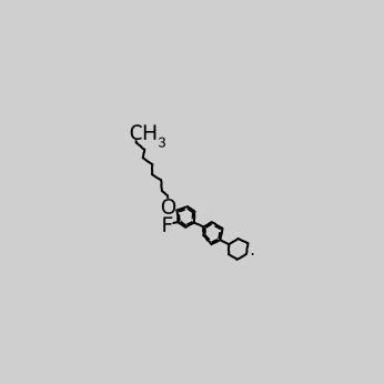 CCCCCCCCCOc1ccc(-c2ccc(C3CC[CH]CC3)cc2)cc1F